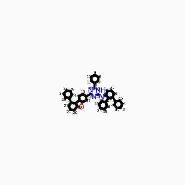 N=C(/N=C(\N=C\c1ccccc1)c1ccc2c(c1)oc1cccc(-c3ccccc3)c12)n1c2ccccc2c2c(-c3ccccc3)cccc21